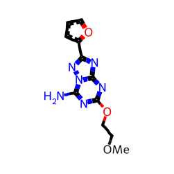 COCCOc1nc(N)n2nc(-c3ccco3)nc2n1